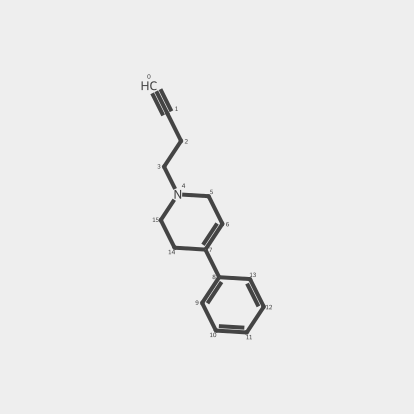 C#CCCN1CC=C(c2ccccc2)CC1